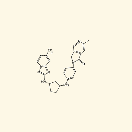 Cc1cc2c(cn1)CN(c1ccc(N[C@H]3CC[C@H](Nc4nc5cc(C(F)(F)F)ccn5n4)C3)nc1)C2=O